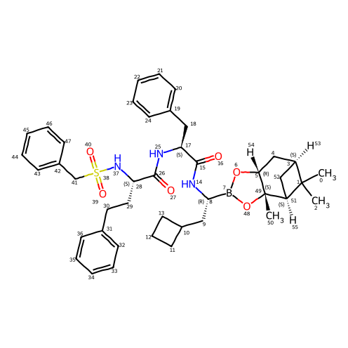 CC1(C)[C@@H]2C[C@H]3OB([C@H](CC4CCC4)NC(=O)[C@H](Cc4ccccc4)NC(=O)[C@H](CCc4ccccc4)NS(=O)(=O)Cc4ccccc4)O[C@@]3(C)[C@H]1C2